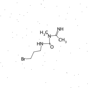 CC(=N)N(C)C(=O)NCCCBr